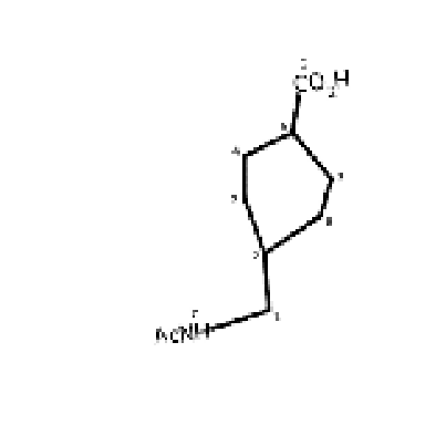 CC(=O)NCC1CCC(C(=O)O)CC1